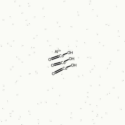 [Al+3].[O]=[Co-][OH].[O]=[Co-][OH].[O]=[Co-][OH]